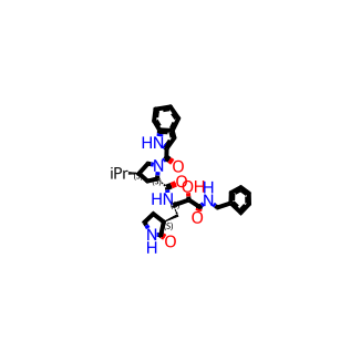 CC(C)[C@@H]1C[C@@H](C(=O)N[C@@H](C[C@@H]2CCNC2=O)C(O)C(=O)NCc2ccccc2)N(C(=O)c2cc3ccccc3[nH]2)C1